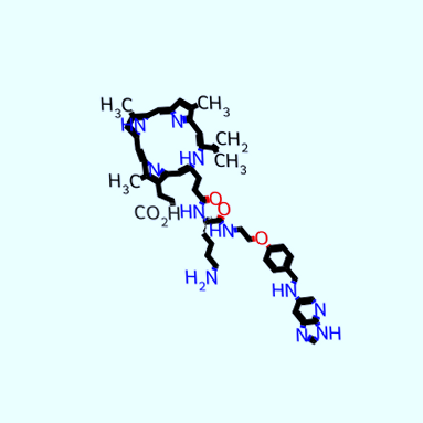 C=C(C)c1cc2nc(cc3[nH]c(cc4nc(cc(CCC(=O)N[C@@H](CCCCN)C(=O)NCCOc5ccc(CNc6cnc7[nH]cnc7c6)cc5)[nH]1)C(CCC(=O)O)=C4C)cc3C)C=C2C